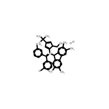 CCC1C=C(C(C)(C)C)C=[C]1[Zr+2](=[C](c1cccc(Cl)c1)c1cccc(Cl)c1)[CH]1c2cc(C)c(C)cc2-c2cc(C)c(C)cc21.[Cl-].[Cl-]